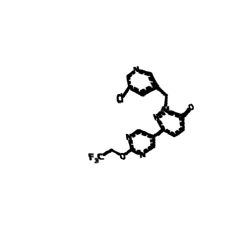 O=c1ccc(-c2cnc(OCC(F)(F)F)nc2)nn1Cc1cncc(Cl)c1